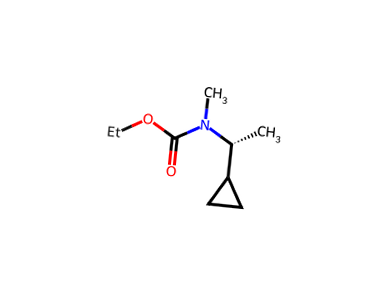 CCOC(=O)N(C)[C@H](C)C1CC1